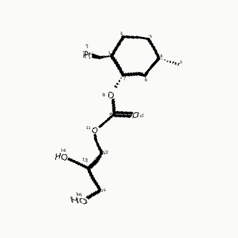 CC(C)[C@H]1CC[C@H](C)C[C@@H]1OC(=O)OCC(O)CO